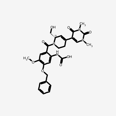 COc1cc(C(=O)N2CCC(c3cn(C)c(=O)n(C)c3=O)=C[C@H]2CO)c(NC(=O)O)cc1OCc1ccccc1